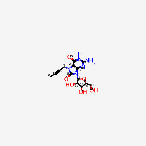 CC#CCn1c(=O)n(C2OC(CO)C(O)C2O)c2nc(N)[nH]c(=O)c21